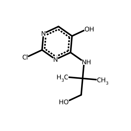 CC(C)(CO)Nc1nc(Cl)ncc1O